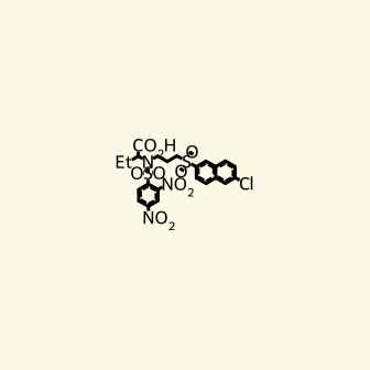 CCC(C(=O)O)N(CCCS(=O)(=O)c1ccc2cc(Cl)ccc2c1)S(=O)(=O)c1ccc([N+](=O)[O-])cc1[N+](=O)[O-]